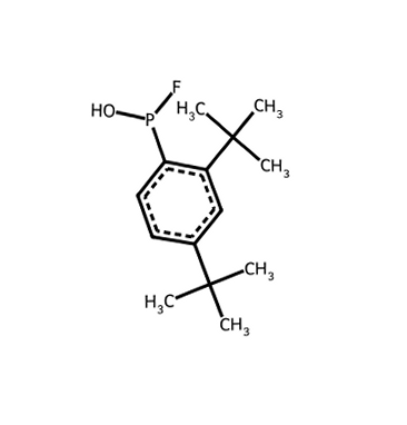 CC(C)(C)c1ccc(P(O)F)c(C(C)(C)C)c1